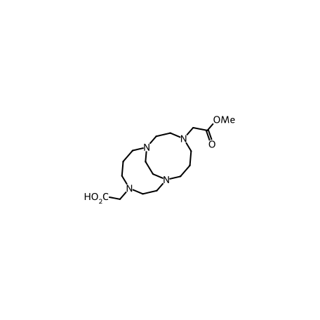 COC(=O)CN1CCCN2CCN(CCCN(CC(=O)O)CC2)CC1